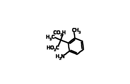 Cc1cccc(N)c1C(C)(C(=O)O)C(=O)O